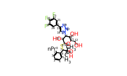 CCCc1ccccc1C(S[C@@H]1O[C@H](CO)[C@H](O)[C@H](n2cc(-c3cc(F)c(F)c(F)c3)nn2)[C@H]1O)C(C)(C)O